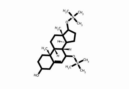 C[C@]12CCC(O)CC1=CC(O[Si](C)(C)C)[C@@H]1[C@H]2CC[C@]2(C)C(O[Si](C)(C)C)CC[C@@H]12